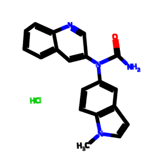 Cl.Cn1ccc2cc(N(C(N)=O)c3cnc4ccccc4c3)ccc21